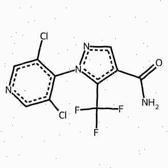 NC(=O)c1cnn(-c2c(Cl)cncc2Cl)c1C(F)(F)F